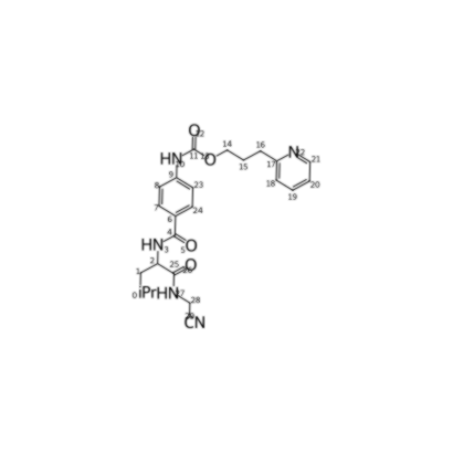 CC(C)CC(NC(=O)c1ccc(NC(=O)OCCCc2ccccn2)cc1)C(=O)NCC#N